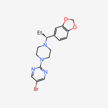 CC[C@@H](c1ccc2c(c1)OCO2)N1CCN(c2ncc(Br)cn2)CC1